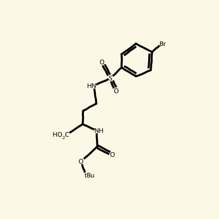 CC(C)(C)OC(=O)NC(CCNS(=O)(=O)c1ccc(Br)cc1)C(=O)O